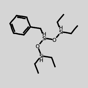 CC[SiH](CC)O[SiH](Cc1ccccc1)O[SiH](CC)CC